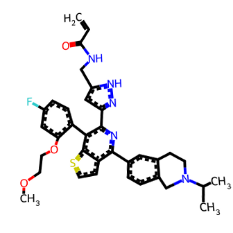 C=CC(=O)NCc1cc(-c2nc(-c3ccc4c(c3)CCN(C(C)C)C4)c3ccsc3c2-c2ccc(F)cc2OCCOC)n[nH]1